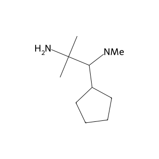 CNC(C1CCCC1)C(C)(C)N